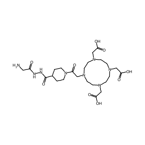 NCC(=O)NNC(=O)C1CCN(C(=O)CN2CCN(CC(=O)O)CCN(CC(=O)O)CCN(CC(=O)O)CC2)CC1